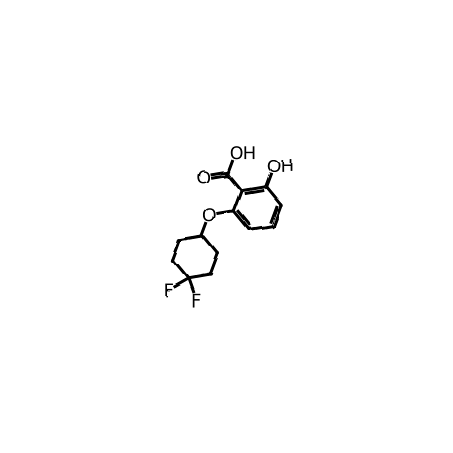 O=C(O)c1c(O)cccc1OC1CCC(F)(F)CC1